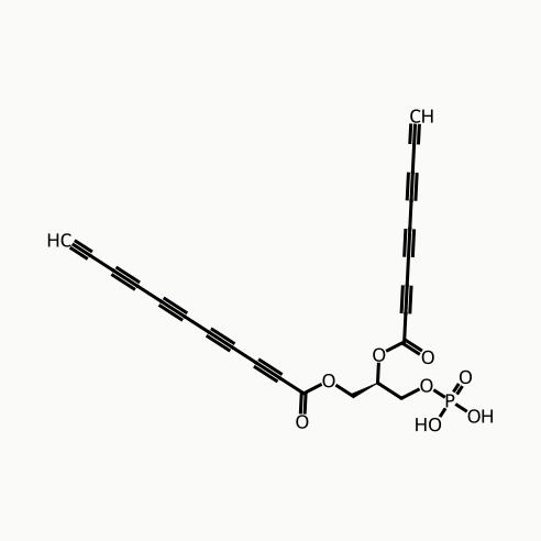 C#CC#CC#CC#CC#CC(=O)OC[C@H](COP(=O)(O)O)OC(=O)C#CC#CC#CC#C